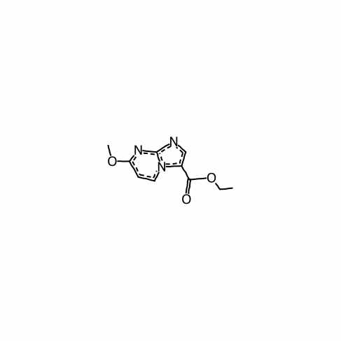 CCOC(=O)c1cnc2nc(OC)ccn12